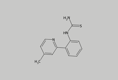 Cc1ccnc(-c2ccccc2NC(N)=S)c1